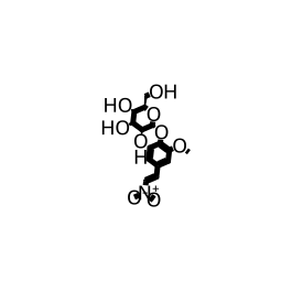 COc1cc(/C=C/[N+](=O)[O-])ccc1O[C@@H]1O[C@H](CO)[C@@H](O)[C@H](O)[C@H]1O